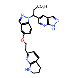 O=C(O)CC(c1cnc2[nH]ncc2c1)n1ncc2cc(OCCc3ccc4c(n3)NCCC4)ccc21